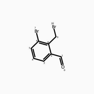 O=Cc1cccc(Br)c1CBr